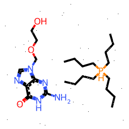 CCCC[PH](CCCC)(CCCC)CCCC.Nc1nc2c(ncn2COCCO)c(=O)[nH]1